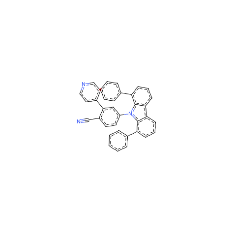 N#Cc1ccc(-n2c3c(-c4ccccc4)cccc3c3cccc(-c4ccccc4)c32)cc1-c1ccncc1